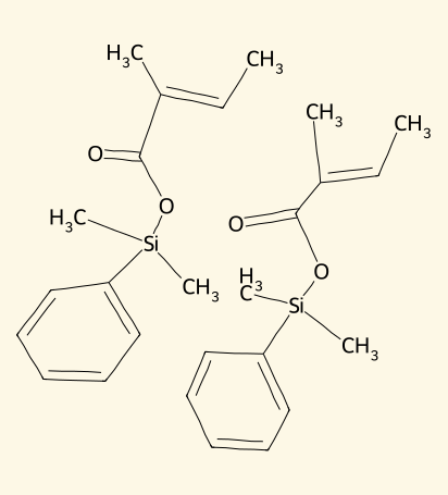 CC=C(C)C(=O)O[Si](C)(C)c1ccccc1.CC=C(C)C(=O)O[Si](C)(C)c1ccccc1